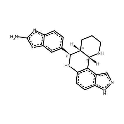 Nc1nc2ccc([C@@H]3Nc4ccc5[nH]ncc5c4[C@H]4NCCC[C@H]43)cc2s1